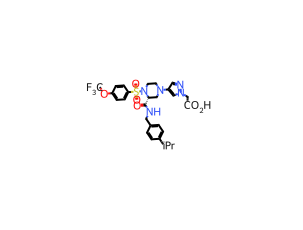 CC(C)c1ccc(CNC(=O)[C@H]2CN(c3cnn(CC(=O)O)c3)CCN2S(=O)(=O)c2ccc(OC(F)(F)F)cc2)cc1